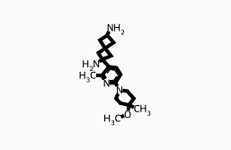 COC1(C)CCN(c2ccc(C3(N)CC4(CC(N)C4)C3)c(C)n2)CC1